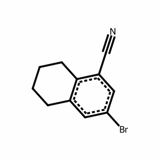 N#Cc1cc(Br)cc2c1CCCC2